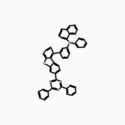 c1ccc(-c2nc(-c3ccccc3)nc(-c3ccc4c(c3)oc3cccc(-c5cccc(N(c6ccccc6)c6cccc7ccccc67)c5)c34)n2)cc1